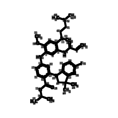 C=CC(=O)Nc1cc(Nc2ncc(C(=O)OC(C)C)c(N3CC(C)(C)c4nc(F)ccc43)n2)c(OC)cc1N(C)CCN(C)C